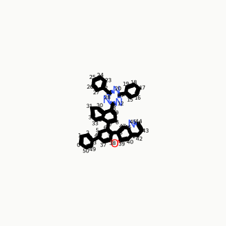 c1ccc(-c2cc(-c3ccc(-c4nc(-c5ccccc5)nc(-c5ccccc5)n4)c4ccccc34)c3c(c2)oc2cc4cccnc4cc23)cc1